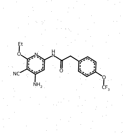 CCOc1nc(NC(=O)Cc2ccc(OC(F)(F)F)cc2)cc(N)c1C#N